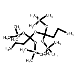 C[Si](C)(C)OC(CC[SiH3])(OC(CC[SiH3])(O[Si](C)(C)C)O[Si](C)(C)C)O[Si](C)(C)C